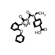 CCN(C(=O)n1nnn(-c2ccccc2Oc2ccccc2)c1=O)c1ccc(C(=O)O)cc1